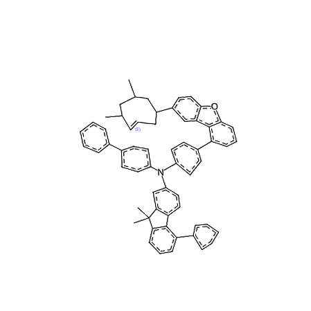 CC1/C=C/CC(c2ccc3oc4cccc(-c5ccc(N(c6ccc(-c7ccccc7)cc6)c6ccc7c(c6)C(C)(C)c6cccc(-c8ccccc8)c6-7)cc5)c4c3c2)CC(C)C1